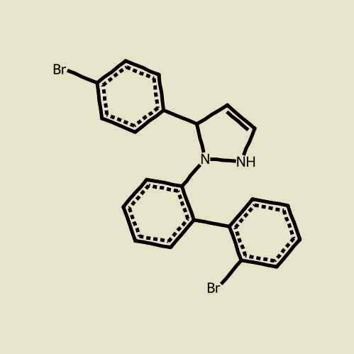 Brc1ccc(C2C=CNN2c2ccccc2-c2ccccc2Br)cc1